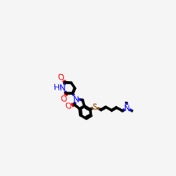 CN(C)CCCCCSc1cccc2c1CN(C1CCC(=O)NC1=O)C2=O